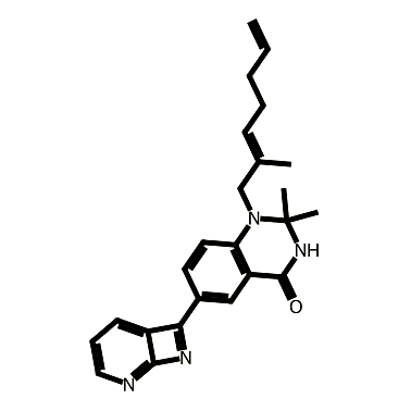 C=CCC/C=C(\C)CN1c2ccc(C3=Nc4ncccc43)cc2C(=O)NC1(C)C